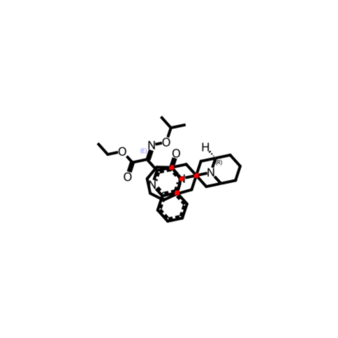 CCOC(=O)/C(=N/OC(C)C)c1nc2ccccc2n(C2CC3CCC[C@H](C2)N3C2CC3CCCCC(C3)C2)c1=O